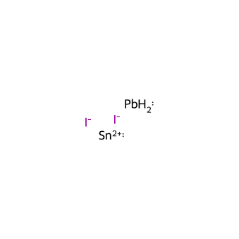 [I-].[I-].[PbH2].[Sn+2]